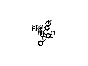 CCNC(=O)c1noc(-c2cc(Cl)c(C)cc2OCc2ccccc2)c1-c1ccc2c(c1)CCN(C)C2